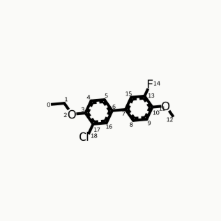 CCOc1ccc(-c2ccc(OC)c(F)c2)cc1Cl